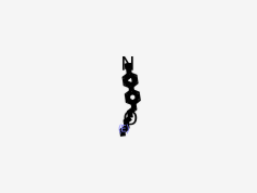 C/C=C/COCCC1CCC(c2ccc(C#N)cc2)CC1